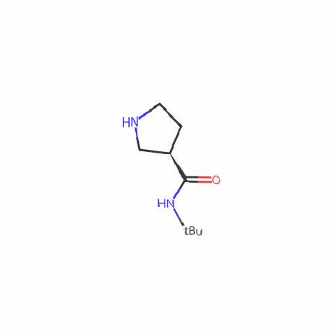 CC(C)(C)NC(=O)[C@@H]1CCNC1